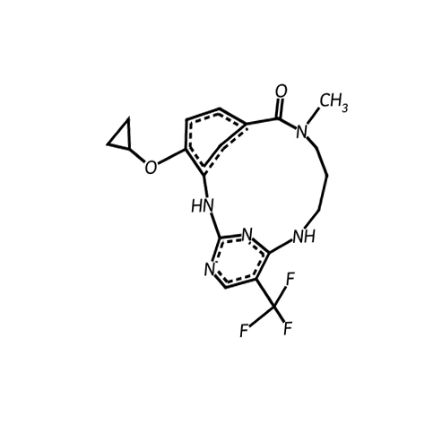 CN1CCCNc2nc(ncc2C(F)(F)F)Nc2cc(ccc2OC2CC2)C1=O